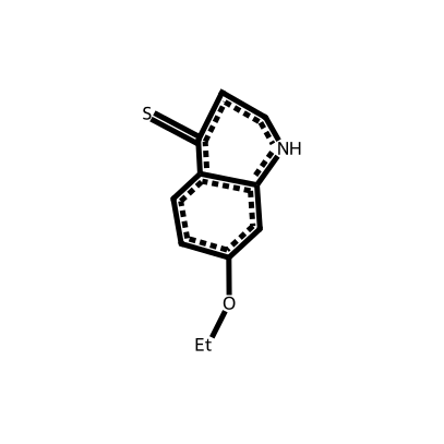 CCOc1ccc2c(=S)cc[nH]c2c1